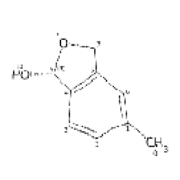 Cc1ccc2c(c1)CO[C@H]2O